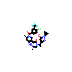 CC(c1cnn(C2CC2)c(=O)c1)N1C[C@@H](C)n2nc3c(c2C1=O)CN(C(=O)c1ccc(Cl)c(C(F)(F)F)c1)[C@H](C)C3